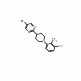 N#Cc1cccc(N2CCC(c3ncc(O)cn3)CC2)c1C(F)(F)F